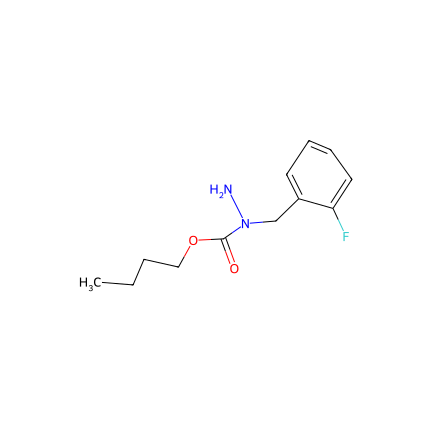 CCCCOC(=O)N(N)Cc1ccccc1F